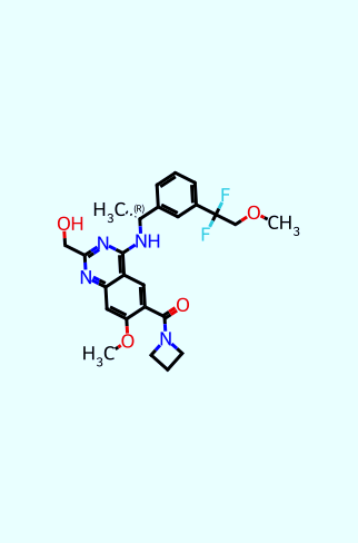 COCC(F)(F)c1cccc([C@@H](C)Nc2nc(CO)nc3cc(OC)c(C(=O)N4CCC4)cc23)c1